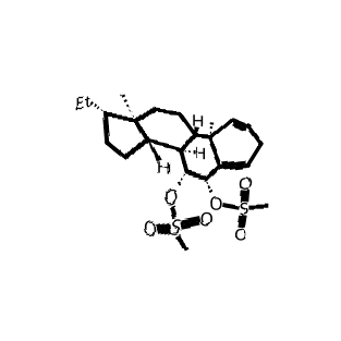 CC[C@H]1CC[C@H]2[C@@H]3[C@@H](OS(C)(=O)=O)[C@@H](OS(C)(=O)=O)C4=CCC=C[C@]4(C)[C@H]3CC[C@]12C